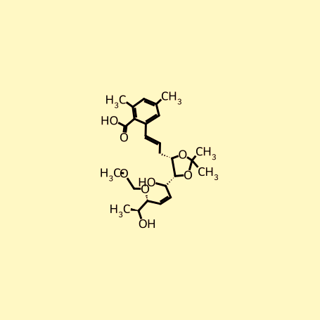 COCO[C@H](/C=C\C(O)[C@H]1OC(C)(C)O[C@H]1C/C=C/c1cc(C)cc(C)c1C(=O)O)[C@H](C)O